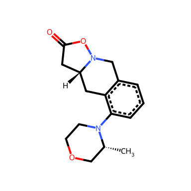 C[C@@H]1COCCN1c1cccc2c1C[C@@H]1CC(=O)ON1C2